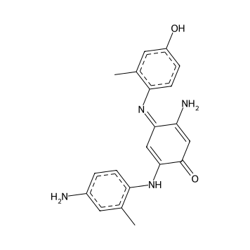 Cc1cc(O)ccc1N=C1C=C(Nc2ccc(N)cc2C)C(=O)C=C1N